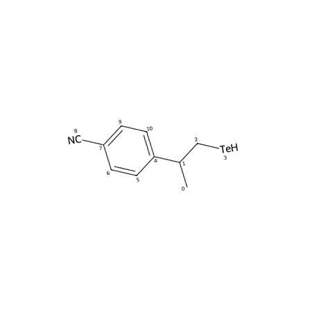 CC(C[TeH])c1ccc(C#N)cc1